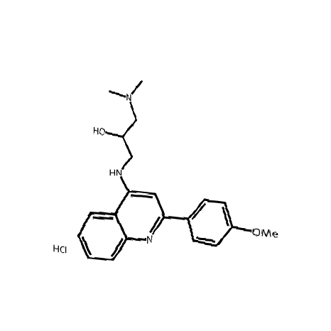 COc1ccc(-c2cc(NCC(O)CN(C)C)c3ccccc3n2)cc1.Cl